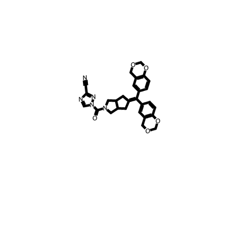 N#Cc1ncn(C(=O)N2CC3CC(=C(c4ccc5c(c4)COCO5)c4ccc5c(c4)COCO5)CC3C2)n1